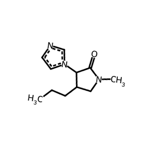 CCCC1CN(C)C(=O)C1n1ccnc1